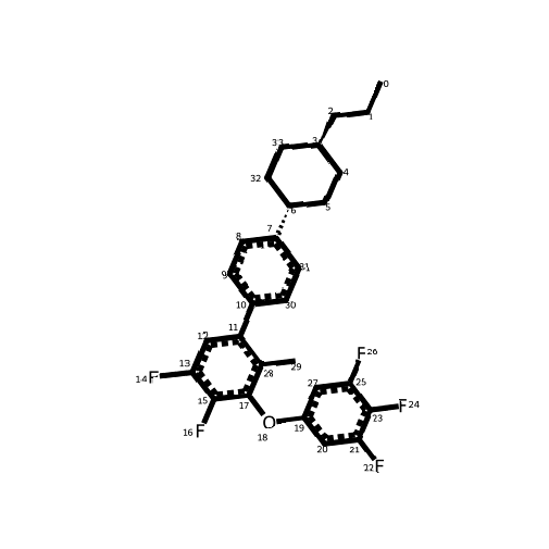 CCC[C@H]1CC[C@H](c2ccc(-c3cc(F)c(F)c(Oc4cc(F)c(F)c(F)c4)c3C)cc2)CC1